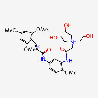 COc1cc(OC)c(/C=C/C(=O)Nc2ccc(OC)c(NC(=O)C[N+](CCO)(CCO)CCO)c2)c(OC)c1